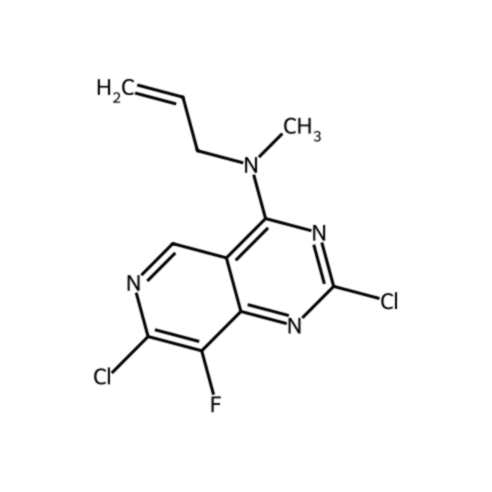 C=CCN(C)c1nc(Cl)nc2c(F)c(Cl)ncc12